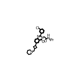 CC(C)NC(=O)Cn1c(-c2cccc(Cl)c2)nc2ccc(C3CC(CN4CCCCC4)C3)cc2c1=O